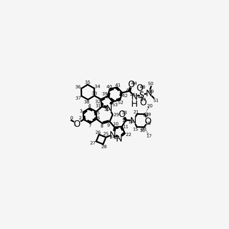 COc1ccc2c(c1)C=C(c1c(C(=O)N3C[C@@H](C)O[C@@H](C)C3)cnn1C1CCC1)Cn1c-2c(C2CCCCC2)c2ccc(C(=O)NS(=O)(=O)N(C)C)cc21